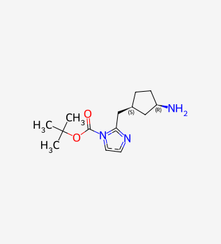 CC(C)(C)OC(=O)n1ccnc1C[C@H]1CC[C@@H](N)C1